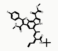 C=C/C=C(\C=C(/C)c1cc2c(C(=O)NC)c(-c3ccc(F)cc3)oc2c2c(C(=O)C(=O)OC)c[nH]c12)C(=O)NC(C)(C)C